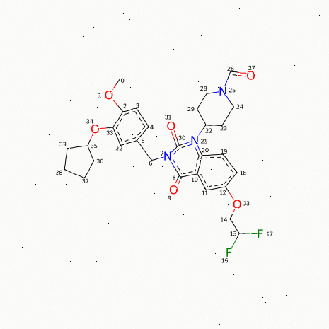 COc1ccc(Cn2c(=O)c3cc(OCC(F)F)ccc3n(C3CCN(C=O)CC3)c2=O)cc1OC1CCCC1